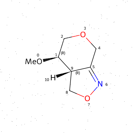 CO[C@H]1COCC2=NOC[C@@H]21